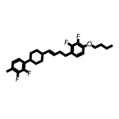 CCCCOc1ccc(CC/C=C/C2CCC(c3ccc(C)c(F)c3F)CC2)c(F)c1F